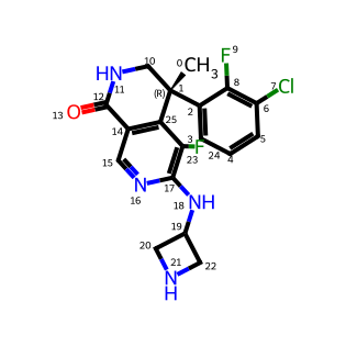 C[C@]1(c2cccc(Cl)c2F)CNC(=O)c2cnc(NC3CNC3)c(F)c21